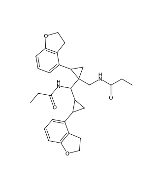 CCC(=O)NCC1(C(NC(=O)CC)C2CC2c2cccc3c2CCO3)CC1c1cccc2c1CCO2